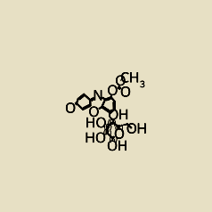 COC(=O)Oc1cccc2oc3cc(=O)ccc-3nc12.OC[C@H]1O[C@H](O)[C@H](O)[C@@H](O)[C@H]1O